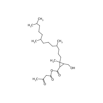 CC(=O)CC(=O)OC(=O)C1C(CO)C1(C)CCCC(C)CCCC(C)CCCC(C)C